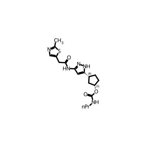 CCCNC(=O)O[C@H]1CC[C@@H](c2cc(NC(=O)Cc3cnc(C)s3)n[nH]2)C1